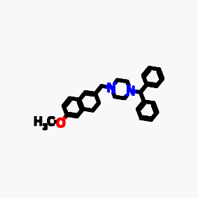 COc1ccc2c(c1)CCC(CN1CCN(C(c3ccccc3)c3ccccc3)CC1)=C2